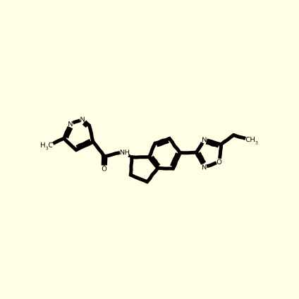 CCc1nc(-c2ccc3c(c2)CC[C@H]3NC(=O)c2cnnc(C)c2)no1